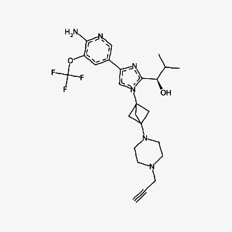 C#CCN1CCN(C23CC(n4cc(-c5cnc(N)c(OC(F)(F)F)c5)nc4[C@H](O)C(C)C)(C2)C3)CC1